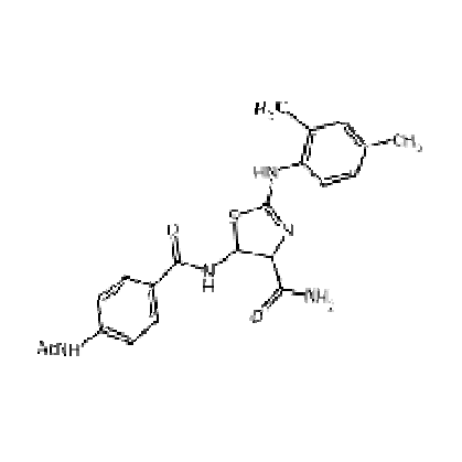 CC(=O)Nc1ccc(C(=O)NC2SC(Nc3ccc(C)cc3C)=NC2C(N)=O)cc1